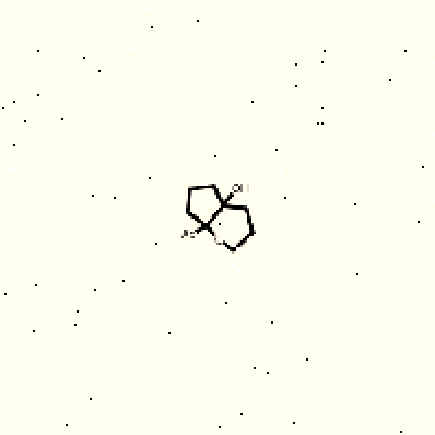 CC(=O)C12CCCCC1(O)CCC2